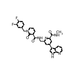 CNC(=O)c1cc(-c2c[nH]c3ncccc23)cc(CNC(=O)c2cccn(Cc3ccc(F)c(F)c3)c2=O)n1